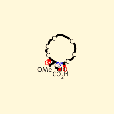 COC(=O)[C@@]1(CCC(=O)O)C(=O)CCCCCCCCCCCCCCC(=O)N1C